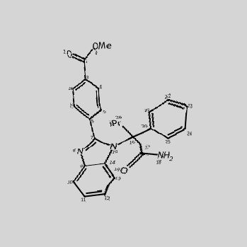 COC(=O)c1ccc(-c2nc3ccccc3n2C(C(N)=O)(c2ccccc2)C(C)C)cc1